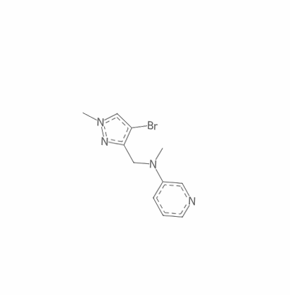 CN(Cc1nn(C)cc1Br)c1cccnc1